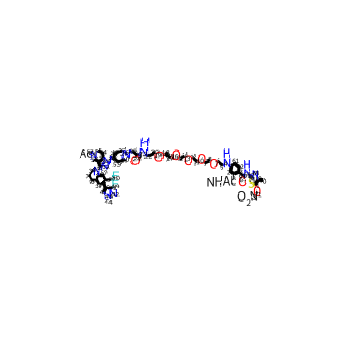 CC(=O)Nc1cc(NCCOCCOCCOCCOCCOCCNC(=O)CN2CCC(n3nc(N4CCCc5cc(-c6cnn(C)c6)c(C(F)F)cc54)c4c3CCN(C(C)=O)C4)CC2)ccc1C(=O)Nc1nc(C)c(O[N+](=O)[O-])s1